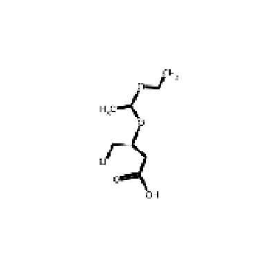 CCOC(C)O[C@H](CCl)CC(=O)O